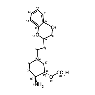 N[C@H]1CCN(CCC2COc3ccccc3O2)C[C@@H]1OC(=O)O